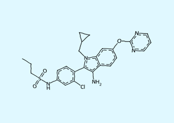 CCCS(=O)(=O)Nc1ccc(-c2c(N)c3ccc(Oc4ncccn4)cc3n2CC2CC2)c(Cl)c1